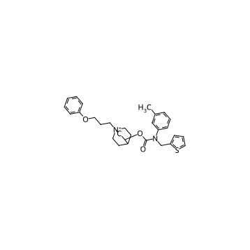 Cc1cccc(N(Cc2cccs2)C(=O)OC2C[N+]3(CCCOc4ccccc4)CCC2CC3)c1